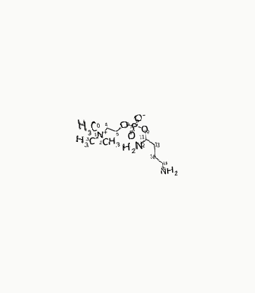 C[N+](C)(C)CCOP(=O)([O-])OC(N)CCCN